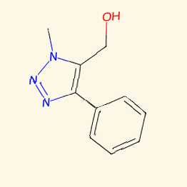 Cn1nnc(-c2ccccc2)c1CO